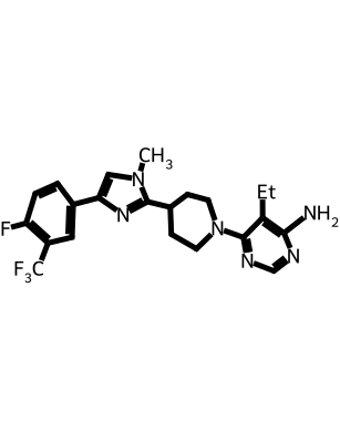 CCc1c(N)ncnc1N1CCC(c2nc(-c3ccc(F)c(C(F)(F)F)c3)cn2C)CC1